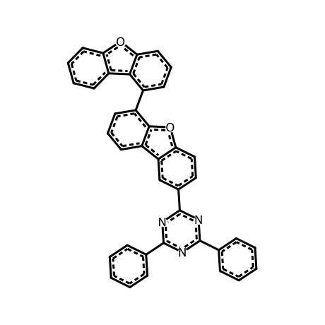 c1ccc(-c2nc(-c3ccccc3)nc(-c3ccc4oc5c(-c6cccc7oc8ccccc8c67)cccc5c4c3)n2)cc1